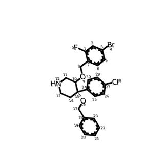 Fc1cc(Br)ccc1COC1CNCC[C@]1(OCc1ccccc1)c1ccc(Cl)cc1